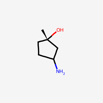 C[C@]1(O)CCC(N)C1